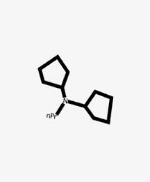 CCCN(C1CCCC1)C1CCCC1